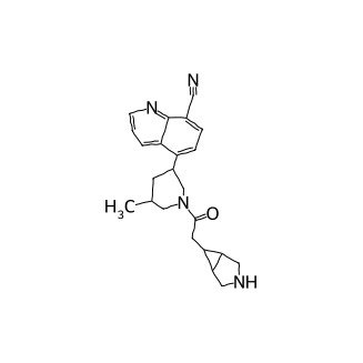 CC1CC(c2ccc(C#N)c3ncccc23)CN(C(=O)CC2C3CNCC32)C1